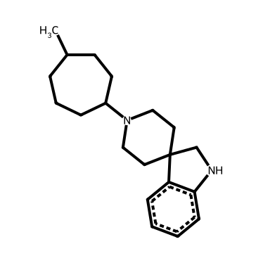 CC1CCCC(N2CCC3(CC2)CNc2ccccc23)CC1